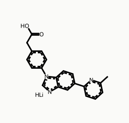 Cc1cccc(-c2ccc3c(c2)ncn3-c2ccc(CC(=O)O)cc2)n1.[LiH]